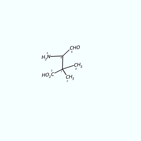 CC(C)(C(=O)O)C(N)C=O